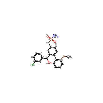 CSc1cccc2c1-c1ccc(CS(N)(=O)=O)cc1C(c1cccc(Cl)c1)O2